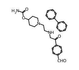 NC(=O)OC1CCN(CCNCC(=O)c2ccc(C=O)cc2)CC1.c1ccc(-c2ccccc2)cc1